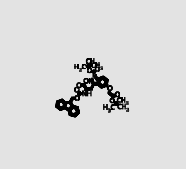 CC(C)(C)OC(=O)COc1ccc2c(c1)c(CC(NC(=O)OCC1c3ccccc3-c3ccccc31)C(=O)O)cn2C(=O)OC(C)(C)C